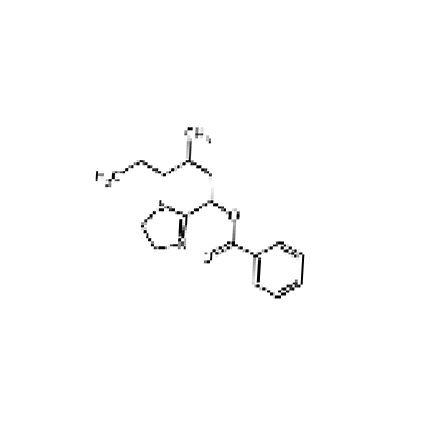 CCCC(C)CC(OC(=O)c1ccccc1)C1=NCCS1